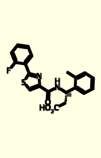 Cc1ccccc1[C@H](CC(=O)O)NC(=O)c1csc(-c2ccccc2F)n1